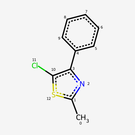 Cc1nc(-c2c[c]ccc2)c(Cl)s1